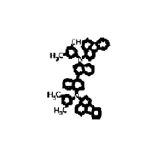 Cc1cc(C)cc(N(c2ccc(-c3ccc(N(c4cc(C)cc(C)c4)c4ccc5c6c(cccc46)-c4ccccc4-5)c4ccccc34)c3ccccc23)c2ccc3c4c(cccc24)-c2ccccc2-3)c1